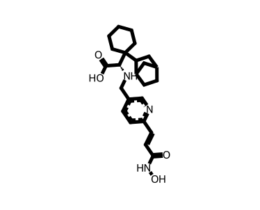 O=C(C=Cc1ccc(CN[C@H](C(=O)O)C2(C3CC4CCC3C4)CCCCC2)cn1)NO